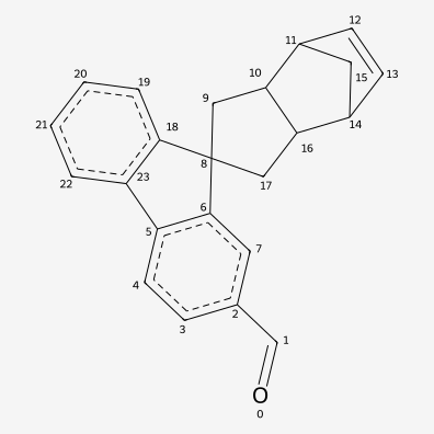 O=Cc1ccc2c(c1)C1(CC3C4C=CC(C4)C3C1)c1ccccc1-2